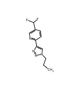 CCCn1cc(-c2ccc(C(F)F)cn2)nn1